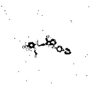 CP(C)(=O)c1ccc(NCC#Cc2sc3c(NC4CCC(N5CC6CC(C5)O6)CC4)cccc3c2CC(F)(F)F)c(OCCO)c1